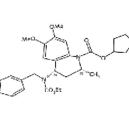 CCOC(=O)N(Cc1ccccc1)[C@H]1C[C@@H](C)N(C(=O)OC2CCCC2)c2cc(OC)c(OC)cc21